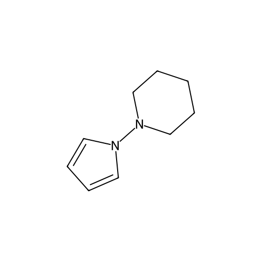 c1ccn(N2CCCCC2)c1